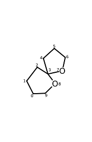 C1CCC2(CCCO2)OC1